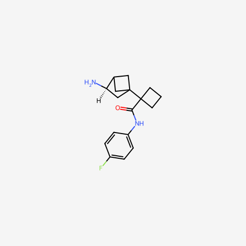 N[C@@H]1CC2(C3(C(=O)Nc4ccc(F)cc4)CCC3)CC1C2